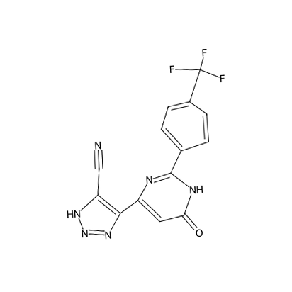 N#Cc1[nH]nnc1-c1cc(=O)[nH]c(-c2ccc(C(F)(F)F)cc2)n1